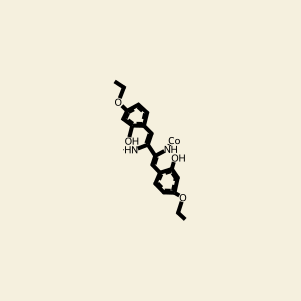 CCOc1ccc(C=C([NH])C(=Cc2ccc(OCC)cc2O)[NH][Co])c(O)c1